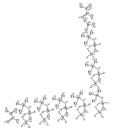 CC[P+](CC)(CC)C[Si](C)(C)O[Si](C)(C)C.CC[P+](CC)(CC)C[Si](C)(C)O[Si](C)(C)C.CC[P+](CC)(CC)C[Si](C)(C)O[Si](C)(C)C.CC[P+](CC)(CC)C[Si](C)(C)O[Si](C)(C)C.CC[P+](CC)(CC)C[Si](C)(C)O[Si](C)(C)C.CC[P+](CC)(CC)C[Si](C)(C)O[Si](C)(C)C.CC[P+](CC)(CC)C[Si](C)(C)O[Si](C)(C)C.O=C([O-])C(=O)[O-].O=C([O-])C(=O)[O-].[O-]B([O-])[O-]